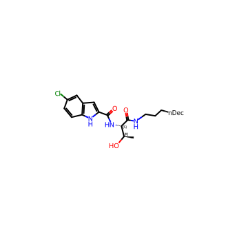 CCCCCCCCCCCCCNC(=O)[C@@H](NC(=O)c1cc2cc(Cl)ccc2[nH]1)[C@@H](C)O